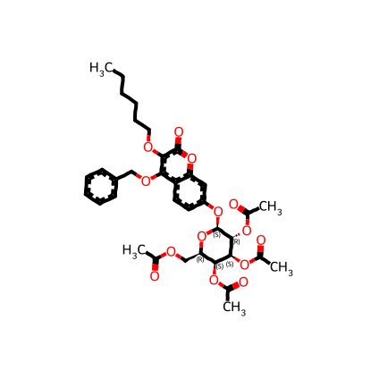 CCCCCCOc1c(OCc2ccccc2)c2ccc(O[C@@H]3O[C@H](COC(C)=O)[C@H](OC(C)=O)[C@H](OC(C)=O)[C@H]3OC(C)=O)cc2oc1=O